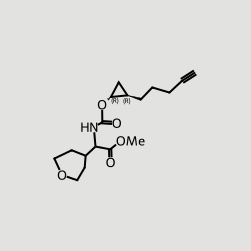 C#CCCC[C@@H]1C[C@H]1OC(=O)NC(C(=O)OC)C1CCOCC1